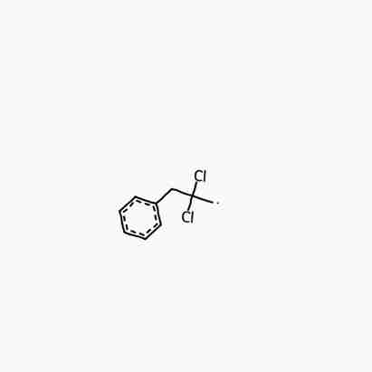 [CH2]C(Cl)(Cl)Cc1ccccc1